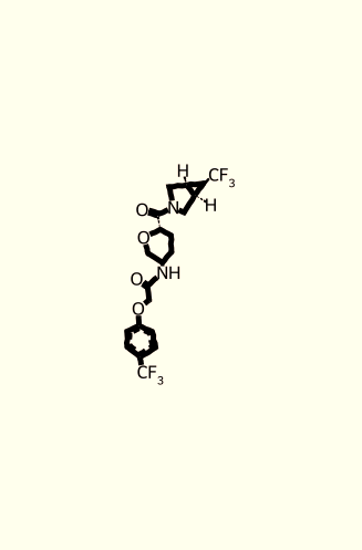 O=C(COc1ccc(C(F)(F)F)cc1)N[C@@H]1CC[C@@H](C(=O)N2C[C@@H]3[C@H](C2)[C@H]3C(F)(F)F)OC1